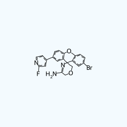 NC1=NC2(COC1)c1cc(Br)ccc1Oc1ccc(-c3ccnc(F)c3)cc12